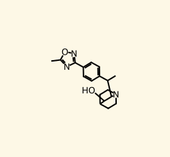 Cc1nc(-c2ccc(C(C)C3C(O)C4CCN3CC4)cc2)no1